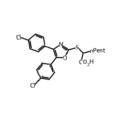 CCCCCC(Sc1nc(-c2ccc(Cl)cc2)c(-c2ccc(Cl)cc2)o1)C(=O)O